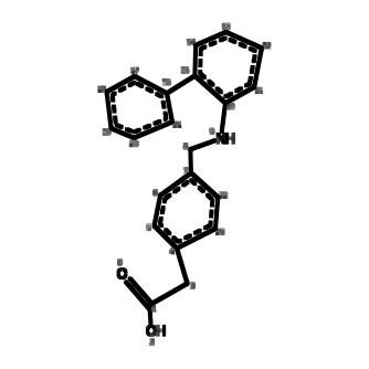 O=C(O)Cc1ccc(CNc2ccccc2-c2ccccc2)cc1